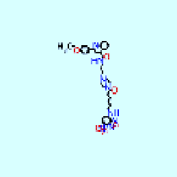 CCOc1ccc(-c2cc(C(=O)NCCCCN3CCN(C(=O)CCCCCNc4ccc([N+](=O)[O-])c5nonc45)CC3)c3ccccc3n2)cc1